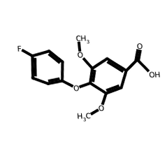 COc1cc(C(=O)O)cc(OC)c1Oc1ccc(F)cc1